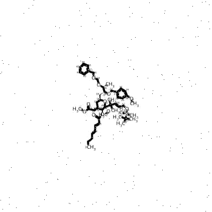 CCC/C=C/C=C/C(=O)O[C@H]1/C(=C/C(=O)OC)C[C@@H](C[C@@H](OCc2ccc(OC)cc2)[C@@H](C)OCOCc2ccccc2)O[C@@]1(OC)C(C)(C)/C=C/CO[Si](C)(C)C(C)(C)C